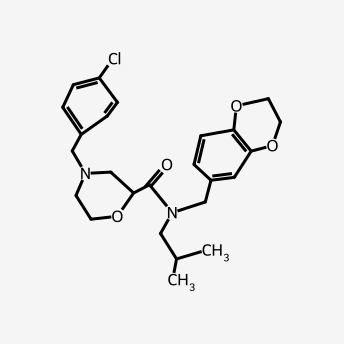 CC(C)CN(Cc1ccc2c(c1)OCCO2)C(=O)C1CN(Cc2ccc(Cl)cc2)CCO1